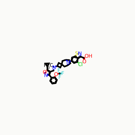 CN(Cc1c(-c2ccccc2OC(F)(F)F)noc1C1CC1)C1CC2(C1)CC1CCC(C2)N1c1cc(Cl)c2c(C(=O)O)nsc2c1